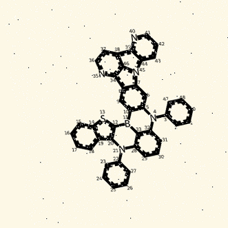 c1ccc(N2c3cc4c(cc3B3c5sc6ccccc6c5N(c5ccccc5)c5cccc2c53)c2nccc3c5ncccc5n4c32)cc1